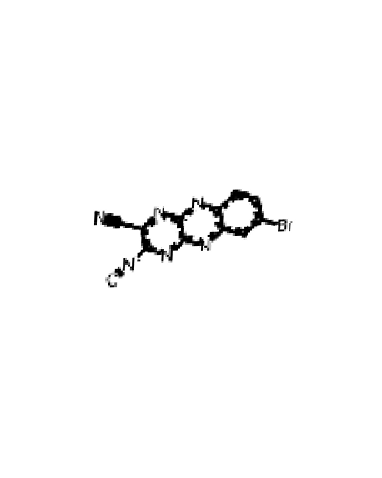 [C-]#[N+]c1nc2nc3cc(Br)ccc3nc2nc1C#N